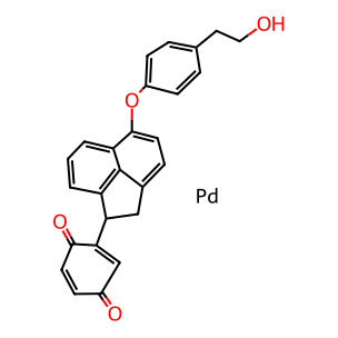 O=C1C=CC(=O)C(C2Cc3ccc(Oc4ccc(CCO)cc4)c4cccc2c34)=C1.[Pd]